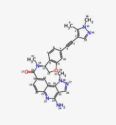 Cc1c(C#Cc2ccc3c(c2)OC[C@H]3N(C)C(=O)c2ccc3nc(N)c4cnn(C)c4c3c2)cnn1C